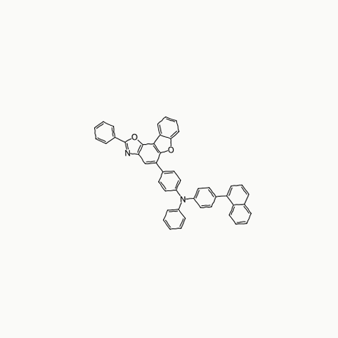 c1ccc(-c2nc3cc(-c4ccc(N(c5ccccc5)c5ccc(-c6cccc7ccccc67)cc5)cc4)c4oc5ccccc5c4c3o2)cc1